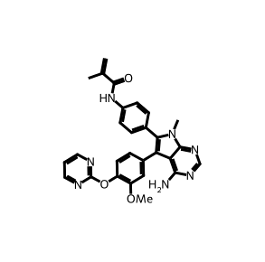 C=C(C)C(=O)Nc1ccc(-c2c(-c3ccc(Oc4ncccn4)c(OC)c3)c3c(N)ncnc3n2C)cc1